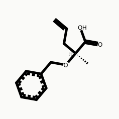 C=CC[C@](C)(OCc1ccccc1)C(=O)O